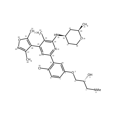 CNC[C@@H](O)COc1ccc(Cl)c(-c2nc(N[C@@H]3CCO[C@H](C)C3)c(C)c(-c3c(C)noc3C)n2)c1